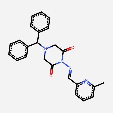 Cc1cccc(C=NN2C(=O)CN(C(c3ccccc3)c3ccccc3)CC2=O)n1